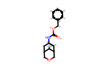 CC1C2COCC1CC(NC(=O)OCc1ccccc1)C2